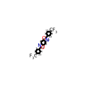 FC(F)(F)c1ccc(-c2nc3cc4oc(-c5ccc(C(F)(F)F)cc5)nc4cc3o2)cc1